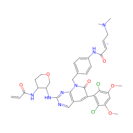 C=CC(=O)NC1CCOCC1Nc1ncc2cc(-c3c(Cl)c(OC)cc(OC)c3Cl)c(=O)n(Cc3ccc(NC(=O)/C=C/CN(C)C)cc3)c2n1